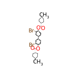 C[C@H]1CC[C@H](C(=O)Oc2ccc(-c3ccc(OC(=O)[C@H]4CC[C@H](C)CC4)c(Br)c3)cc2Br)CC1